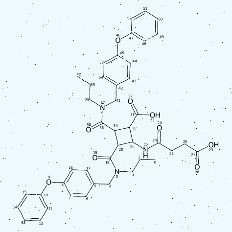 CCCN(Cc1ccc(Oc2ccccc2)cc1)C(=O)C1C(NC(=O)CCC(=O)O)C(C(=O)O)C1C(=O)N(CCC)Cc1ccc(Oc2ccccc2)cc1